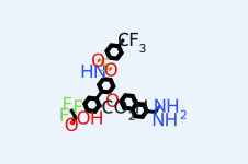 N=C(N)c1ccc2cc(Oc3ccc(NS(=O)(=O)c4ccc(C(F)(F)F)cc4)cc3-c3ccccc3C(=O)O)ccc2c1.O=C(O)C(F)(F)F